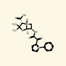 CC1(C)S[C@@H]2[C@H](NC(=O)C(=O)c3cccn3-c3ccccc3)C[N+]2([O-])[C@H]1C(=O)O